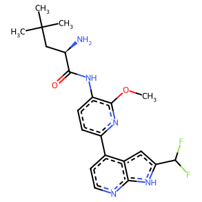 COc1nc(-c2ccnc3[nH]c(C(F)F)cc23)ccc1NC(=O)[C@H](N)CC(C)(C)C